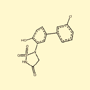 O=C1CN(c2cc(-c3cccc(Cl)c3)ccc2O)S(=O)(=O)N1